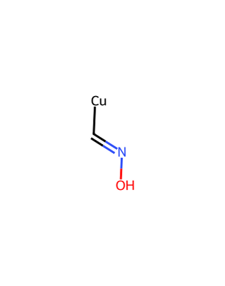 ON=[CH][Cu]